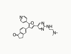 CN(C)CCNc1ncc(-c2cc(-c3ccc4c(c3)CCC4=O)c(-c3ccncc3)o2)cn1